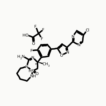 C[C@@]1(c2cc(-c3cc(-c4ncc(Cl)cn4)no3)ccc2F)C[SH]2(=O)NCCCCN2C(N)=N1.O=C(O)C(F)(F)F